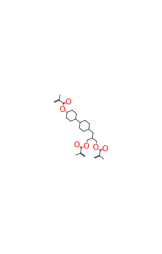 C=C(C)C(=O)OCC(COC(=O)C(=C)C)CC1CCC(C2CCC(OC(=O)C(=C)C)CC2)CC1